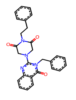 O=C1CN(c2nc3ccccc3c(=O)n2Cc2ccccc2)CC(=O)N1CCc1ccccc1